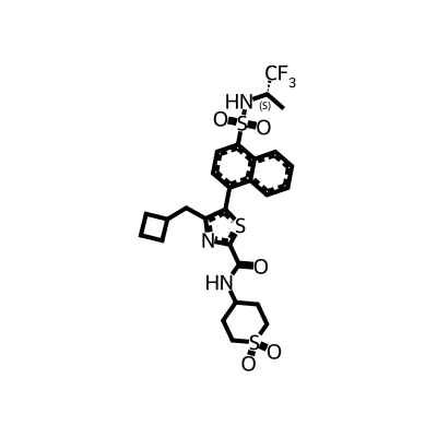 C[C@H](NS(=O)(=O)c1ccc(-c2sc(C(=O)NC3CCS(=O)(=O)CC3)nc2CC2CCC2)c2ccccc12)C(F)(F)F